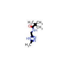 Cc1nnc(CNC(=O)C(C)(C)C)[nH]1